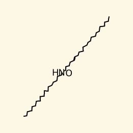 CCCCCCCCCCCCCCCCC=CCCCC(=O)NCCCCCCCCCCCCCCCCCC